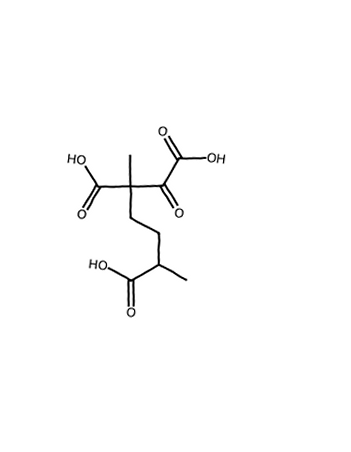 CC(CCC(C)(C(=O)O)C(=O)C(=O)O)C(=O)O